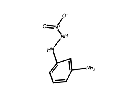 Nc1cccc(NN[N+](=O)[O-])c1